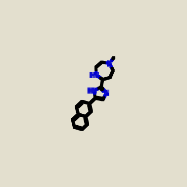 CN1CCNC(c2ncc(-c3ccc4ccccc4c3)[nH]2)CC1